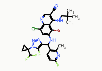 Cc1nc(F)ccc1C(Nc1cc(Cl)c2ncc(C#N)c(NCC(C)(C)C)c2c1Br)c1nnn(C2(C(F)F)CC2)c1F